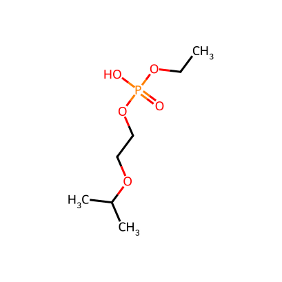 CCOP(=O)(O)OCCOC(C)C